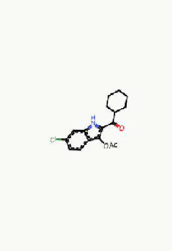 CC(=O)Oc1c(C(=O)C2CCCCC2)[nH]c2cc(Cl)ccc12